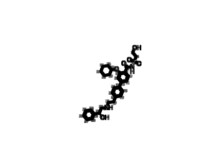 O=C(NS(=O)(=O)CCO)c1ccc(-c2ccc(CCNC[C@H](O)c3ccccc3)cc2)cc1OC1CCCCC1